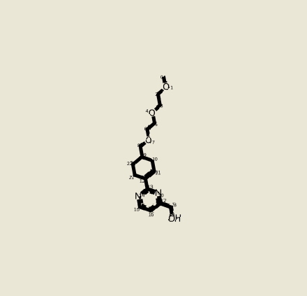 COCCOCCOCC1CC=C(c2nccc(CO)n2)CC1